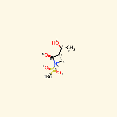 C[C@@H](O)[C@@H]1CN(S(=O)(=O)C(C)(C)C)C1=O